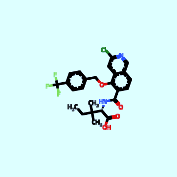 CCC(C)(C)[C@H](NC(=O)c1ccc2cnc(Cl)cc2c1OCc1ccc(C(F)(F)F)cc1)C(=O)O